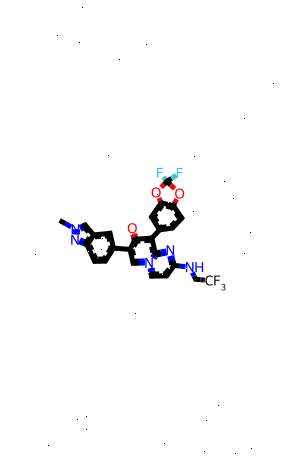 Cn1cc2cc(-c3cn4ccc(NCC(F)(F)F)nc4c(-c4ccc5c(c4)OC(F)(F)O5)c3=O)ccc2n1